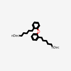 CCCCCCCCCCCCCCCc1ccccc1Oc1ccccc1CCCCCCCCCCCCCCC